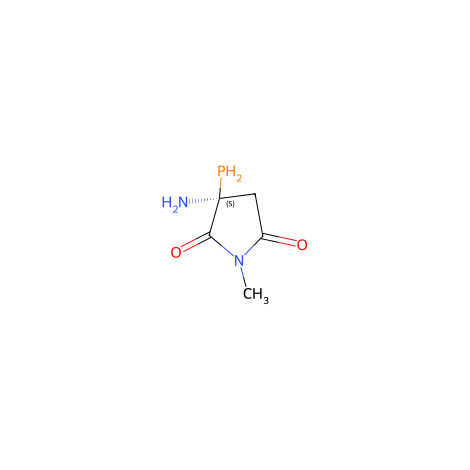 CN1C(=O)C[C@](N)(P)C1=O